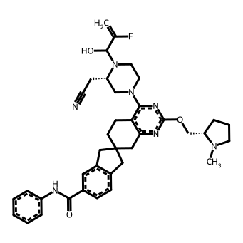 C=C(F)C(O)N1CCN(c2nc(OC[C@@H]3CCCN3C)nc3c2CCC2(Cc4ccc(C(=O)Nc5ccccc5)cc4C2)C3)C[C@@H]1CC#N